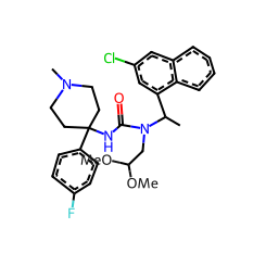 COC(CN(C(=O)NC1(c2ccc(F)cc2)CCN(C)CC1)C(C)c1cc(Cl)cc2ccccc12)OC